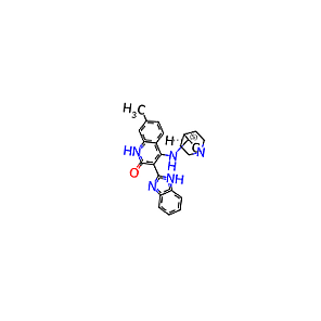 Cc1ccc2c(N[C@@H]3CN4CCC3CC4)c(-c3nc4ccccc4[nH]3)c(=O)[nH]c2c1